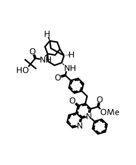 COC(=O)c1c(Cc2ccc(C(=O)N[C@@H]3CC[C@@]4(NC(=O)C(C)(C)O)CC5C[C@H](C[C@@H]53)C4)cc2)c(=O)c2cccnc2n1-c1ccccc1